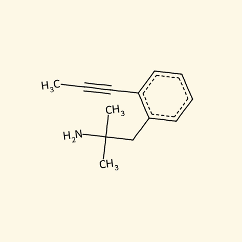 CC#Cc1ccccc1CC(C)(C)N